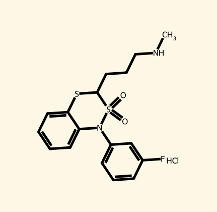 CNCCCC1Sc2ccccc2N(c2cccc(F)c2)S1(=O)=O.Cl